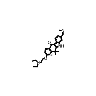 CCN(CC)CCOc1ccc2c(n1)C(C)(C)c1[nH]c3cc(/C=N\C)ccc3c1C2=O